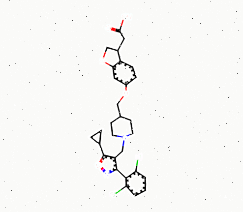 O=C(O)CC1COc2cc(OCC3CCN(Cc4c(-c5c(Cl)cccc5Cl)noc4C4CC4)CC3)ccc21